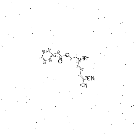 CC(C)N(/C=C/C=C(C#N)C#N)CCOC(=O)Cc1ccccc1